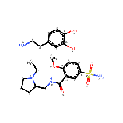 CCN1CCCC1CNC(=O)c1cc(S(N)(=O)=O)ccc1OC.NCCc1ccc(O)c(O)c1